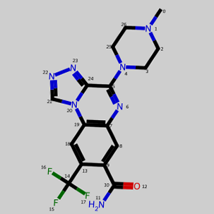 CN1CCN(c2nc3cc(C(N)=O)c(C(F)(F)F)cc3n3cnnc23)CC1